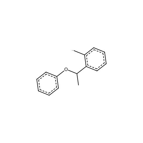 [CH2]c1ccccc1C(C)Oc1ccccc1